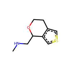 CNCC1OCCc2cscc21